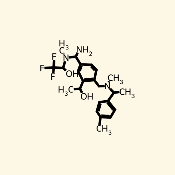 Cc1ccc(C(C)N(C)Cc2ccc(C(N)N(C)C(O)C(F)(F)F)cc2C(C)O)cc1